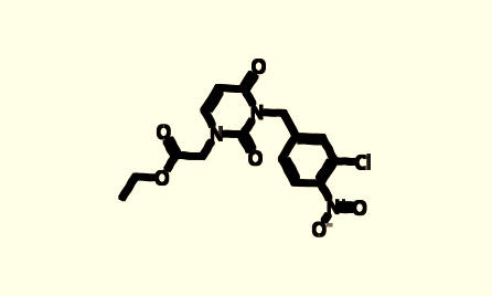 CCOC(=O)Cn1ccc(=O)n(Cc2ccc([N+](=O)[O-])c(Cl)c2)c1=O